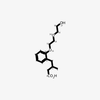 CC(CC(=O)O)Cc1ccccc1OCCOCCO